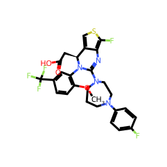 COc1ccc(C(F)(F)F)cc1N1C(N2CCCN(c3ccc(F)cc3)CC2)=Nc2c(csc2F)[C@@H]1CC(=O)O